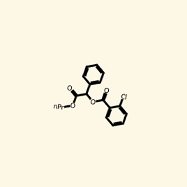 CCCOC(=O)C(OC(=O)c1ccccc1Cl)c1ccccc1